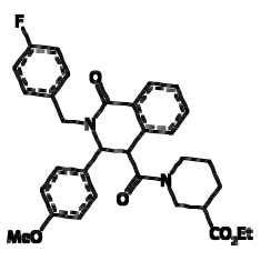 CCOC(=O)C1CCCN(C(=O)C2c3ccccc3C(=O)N(Cc3ccc(F)cc3)C2c2ccc(OC)cc2)C1